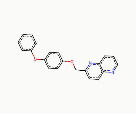 c1ccc(Oc2ccc(OCc3ccc4ncccc4n3)cc2)cc1